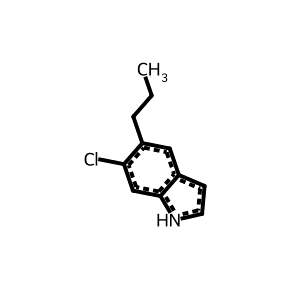 CCCc1cc2cc[nH]c2cc1Cl